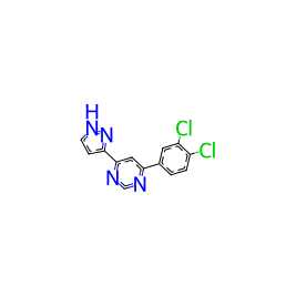 Clc1ccc(-c2cc(-c3cc[nH]n3)ncn2)cc1Cl